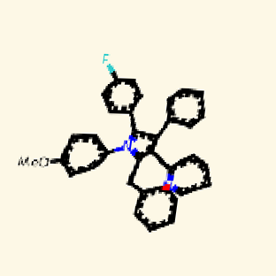 COc1ccc(-n2c(Cc3ccccc3)c(-c3ccccn3)c(-c3ccccc3)c2-c2ccc(F)cc2)cc1